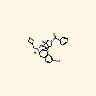 O=C(c1ccccc1)N1C[C@H]2C[C@@]34CCC1C2[C@@]31CCN(CC2CCC2)[C@@H]4Cc2ccc(O)cc21